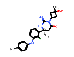 CC1(O)CC(N2C(=N)N[C@](C)(c3cccc(Nc4ccc(C#N)cc4)c3Cl)CC2=O)C1